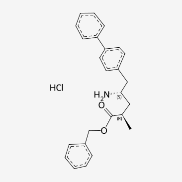 C[C@H](C[C@H](N)Cc1ccc(-c2ccccc2)cc1)C(=O)OCc1ccccc1.Cl